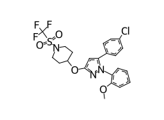 COc1ccccc1-n1nc(OC2CCN(S(=O)(=O)C(F)(F)F)CC2)cc1-c1ccc(Cl)cc1